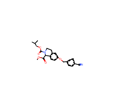 COC(=O)C1c2ccc(OCc3ccc(C#N)cc3)cc2CCN1C(=O)OCC(C)C